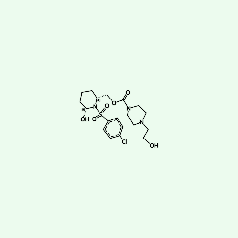 O=C(OC[C@H]1CCC[C@@H](O)N1S(=O)(=O)c1ccc(Cl)cc1)N1CCN(CCO)CC1